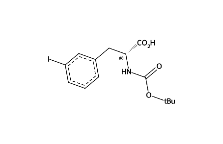 CC(C)(C)OC(=O)N[C@H](Cc1cccc(I)c1)C(=O)O